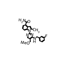 COCc1cnc(-n2c(C)cc3c(C(N)=O)cccc32)nc1NCc1cccc(F)c1